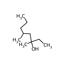 CCCC(C)CC(C)(O)CC